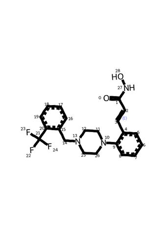 O=C(/C=C/c1ccccc1N1CCN(Cc2ccccc2C(F)(F)F)CC1)NO